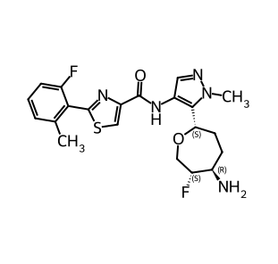 Cc1cccc(F)c1-c1nc(C(=O)Nc2cnn(C)c2[C@@H]2CC[C@@H](N)[C@H](F)CO2)cs1